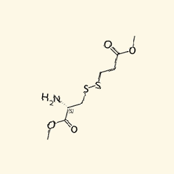 COC(=O)CCSSC[C@@H](N)C(=O)OC